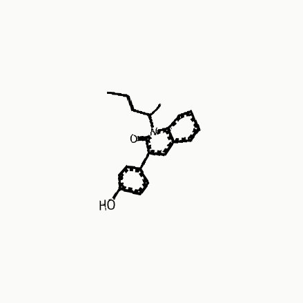 CCCC(C)n1c(=O)c(-c2ccc(O)cc2)cc2ccccc21